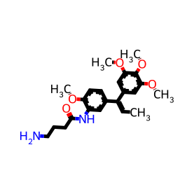 CC=C(c1ccc(OC)c(NC(=O)CCCN)c1)c1cc(OC)c(OC)c(OC)c1